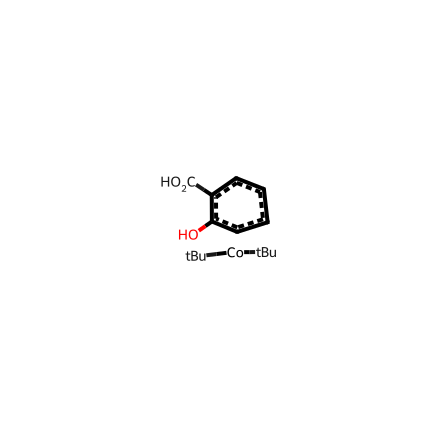 C[C](C)(C)[Co][C](C)(C)C.O=C(O)c1ccccc1O